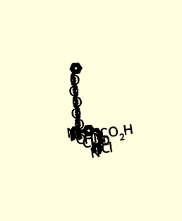 Cn1ncc(OCCOCCOCCOCCOCc2ccccc2)c(-c2ccc(C[C@H](NC(=O)c3c(Cl)cncc3Cl)C(=O)O)cc2)c1=O